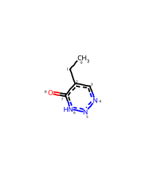 CCc1cnn[nH]c1=O